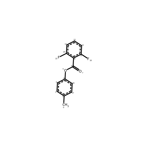 Cc1ccc(OC(=O)c2c(F)cccc2F)cc1